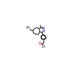 CCC(=O)Cc1ccc(C2=NN=C(C)C3CCC(CC(C)C)CCCC23)cc1